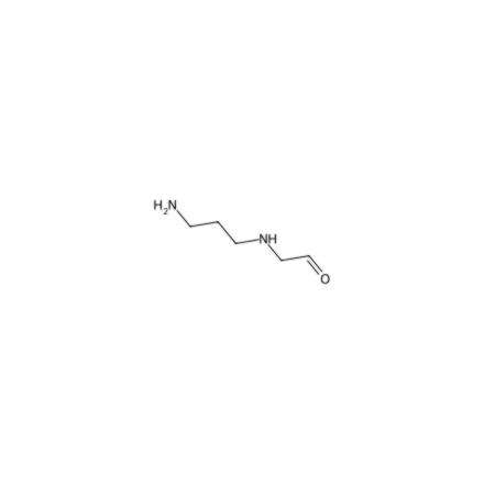 NCCCNCC=O